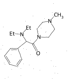 CCN(CC)C(C(=O)N1CCN(C)CC1)c1ccccc1